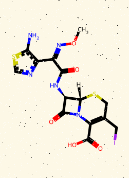 CO/N=C(\C(=O)N[C@@H]1C(=O)N2C(C(=O)O)=C(CI)CS[C@@H]12)c1ncsc1N